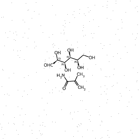 C=C(C)C(N)=O.O=C[C@@H](O)[C@H](O)[C@@H](O)[C@H](O)CO